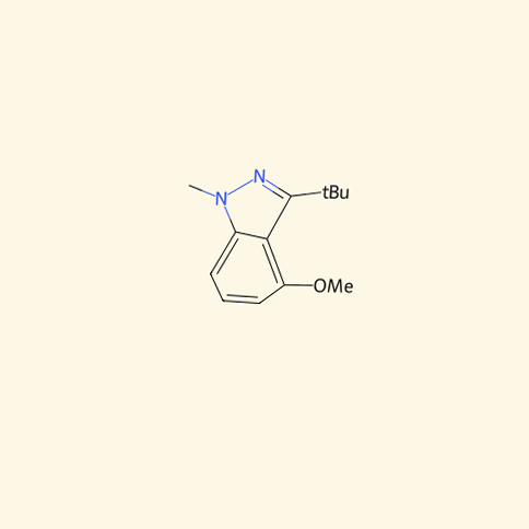 COc1cccc2c1c(C(C)(C)C)nn2C